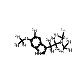 [2H]c1cc2c(C([2H])([2H])C([2H])([2H])N(C([2H])([2H])[2H])C([2H])([2H])[2H])c[nH]c2cc1OC([2H])([2H])[2H]